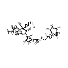 Cc1ccc(OCCCC(=O)c2ccc(CCC(C)(N)COP(=O)(O)O)s2)cc1C